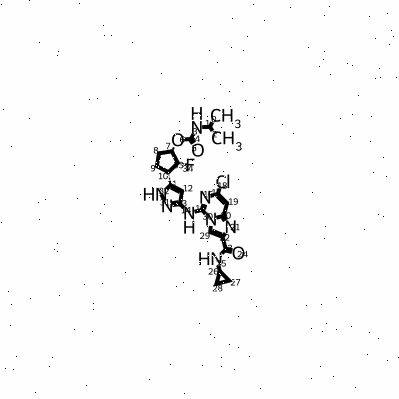 CC(C)NC(=O)O[C@H]1CC[C@@H](c2cc(Nc3nc(Cl)cc4nc(C(=O)NC5CC5)cn34)n[nH]2)[C@H]1F